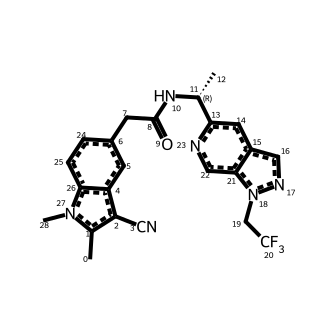 Cc1c(C#N)c2cc(CC(=O)N[C@H](C)c3cc4cnn(CC(F)(F)F)c4cn3)ccc2n1C